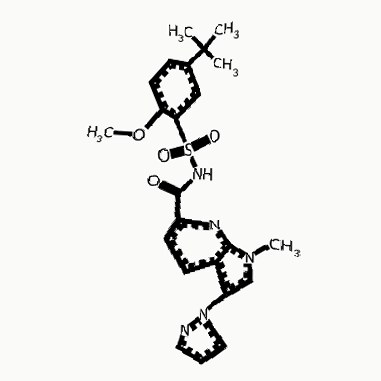 COc1ccc(C(C)(C)C)cc1S(=O)(=O)NC(=O)c1ccc2c(-n3cccn3)cn(C)c2n1